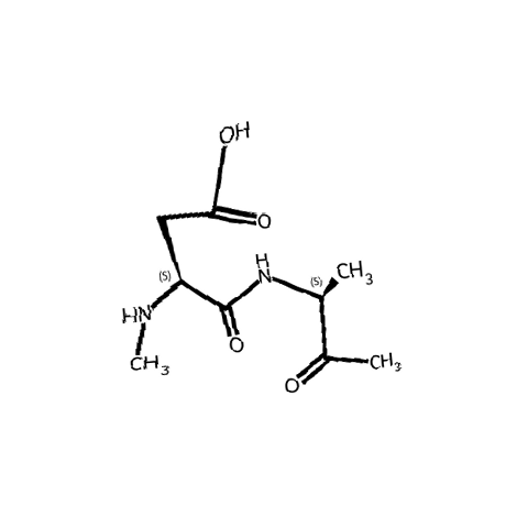 CN[C@@H](CC(=O)O)C(=O)N[C@@H](C)C(C)=O